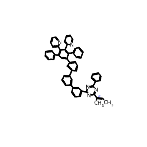 C/C=C(\C)c1nc(-c2ccccc2)nc(-c2cccc(-c3cccc(-c4cccc(-c5cc(-c6ccccc6)c(-c6ccccn6)c(-c6ccccn6)c5-c5ccccc5)c4)c3)c2)n1